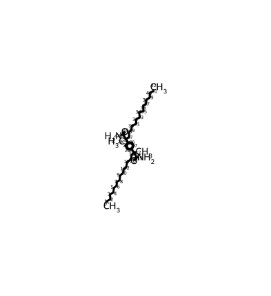 CCCCCCCCCCCCCCCCC(C)(C(N)=O)c1ccc(C(C)(CCCCCCCCCCCCCCCC)C(N)=O)cc1